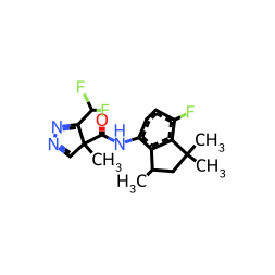 CC1CC(C)(C)c2c(F)ccc(NC(=O)C3(C)C=NN=C3C(F)F)c21